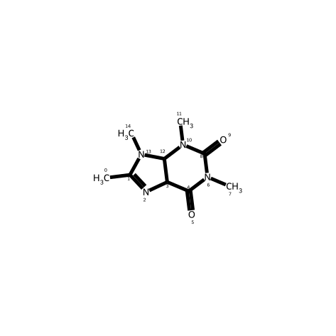 CC1=NC2C(=O)N(C)C(=O)N(C)C2N1C